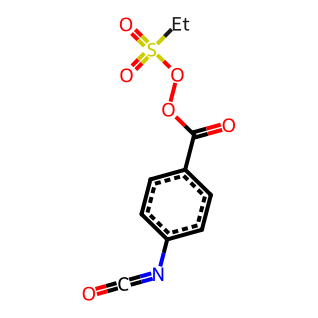 CCS(=O)(=O)OOC(=O)c1ccc(N=C=O)cc1